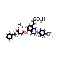 Cc1oc(-c2ccccc2)nc1CCOc1ccc(CCC(=O)O)c2c1CCN(c1ccc(C(F)(F)F)cc1)C2